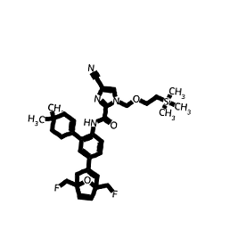 CC1(C)CC=C(c2cc(C3=CC4(CF)C=CC(CF)(C3)O4)ccc2NC(=O)c2nc(C#N)cn2COCC[Si](C)(C)C)CC1